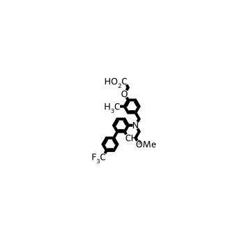 COCCN(Cc1ccc(OCC(=O)O)c(C)c1)c1cccc(-c2ccc(C(F)(F)F)cc2)c1C